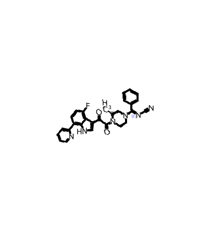 C[C@H]1CN(/C(=N/C#N)c2ccccc2)CCN1C(=O)C(=O)c1c[nH]c2c(-c3ccccn3)ccc(F)c12